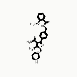 COc1ccccc1C(=O)NCc1ccc(-c2nn(C[C@H]3CCCNC3)c(N)c2C(N)=O)cc1